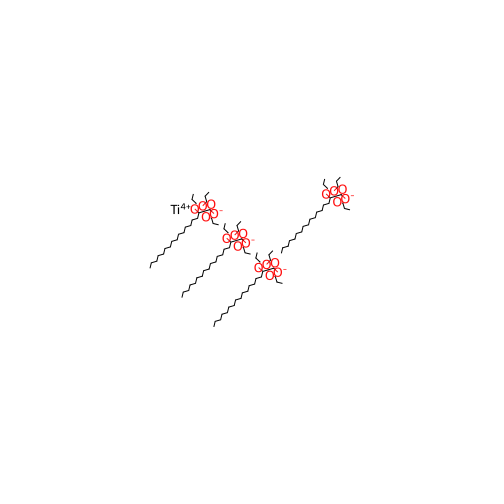 CCCCCCCCCCCCCCCC(OCCC)C(OCCC)(OCCC)C(=O)[O-].CCCCCCCCCCCCCCCC(OCCC)C(OCCC)(OCCC)C(=O)[O-].CCCCCCCCCCCCCCCC(OCCC)C(OCCC)(OCCC)C(=O)[O-].CCCCCCCCCCCCCCCC(OCCC)C(OCCC)(OCCC)C(=O)[O-].[Ti+4]